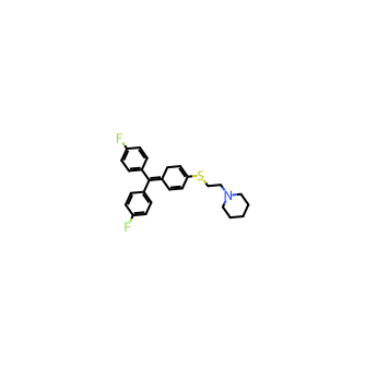 Fc1ccc(C(=C2C=CC(SCCN3CCCCC3)=CC2)c2ccc(F)cc2)cc1